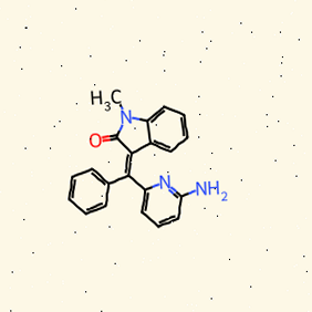 CN1C(=O)C(=C(c2ccccc2)c2cccc(N)n2)c2ccccc21